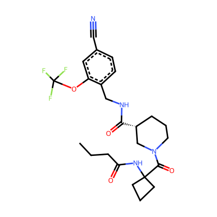 CCCC(=O)NC1(C(=O)N2CCC[C@@H](C(=O)NCc3ccc(C#N)cc3OC(F)(F)F)C2)CCC1